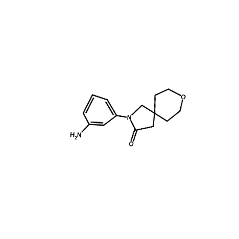 Nc1cccc(N2CC3(CCOCC3)CC2=O)c1